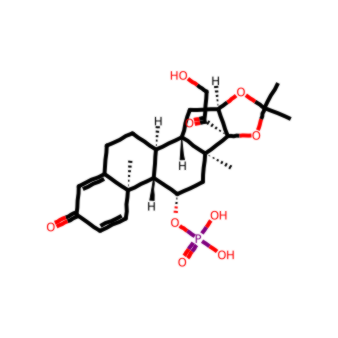 CC1(C)O[C@@H]2C[C@H]3[C@@H]4CCC5=CC(=O)C=C[C@]5(C)[C@H]4[C@@H](OP(=O)(O)O)C[C@]3(C)[C@]2(C(=O)CO)O1